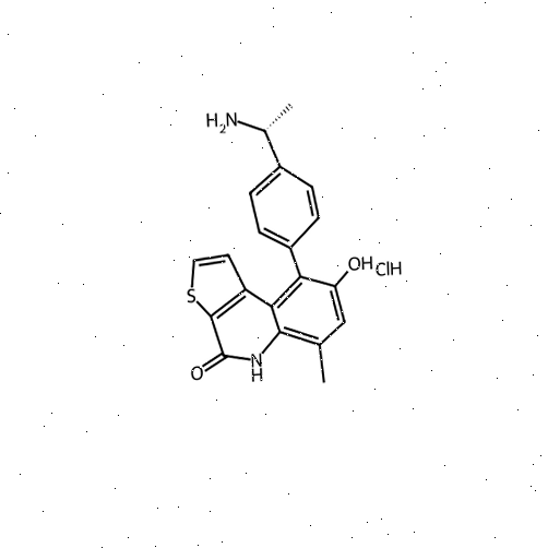 Cc1cc(O)c(-c2ccc([C@@H](C)N)cc2)c2c1[nH]c(=O)c1sccc12.Cl